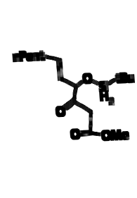 CCCCCC=CC(O[SiH2]C(C)(C)C)C(=O)CC(=O)OC